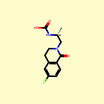 C[C@H](CN1CCc2cc(F)ccc2C1=O)NC(=O)O